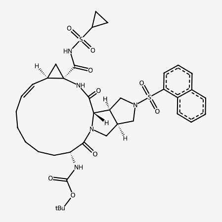 CC(C)(C)OC(=O)N[C@@H]1CCCCC/C=C\[C@H]2C[C@@]2(C(=O)NS(=O)(=O)C2CC2)NC(=O)[C@@H]2[C@H]3CN(S(=O)(=O)c4cccc5ccccc45)C[C@H]3CN2C1=O